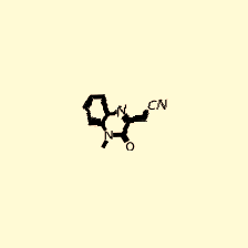 Cn1c(=O)c(CC#N)nc2ccccc21